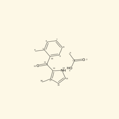 CC(=O)O.Cc1ccccc1C(=O)c1[nH]ccc1C